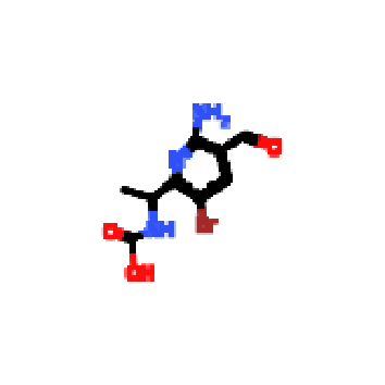 CC(NC(=O)O)c1nc(N)c(C=O)cc1Br